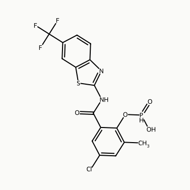 Cc1cc(Cl)cc(C(=O)Nc2nc3ccc(C(F)(F)F)cc3s2)c1O[PH](=O)O